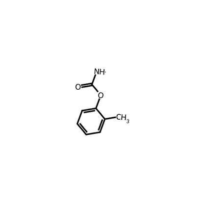 Cc1ccccc1OC([NH])=O